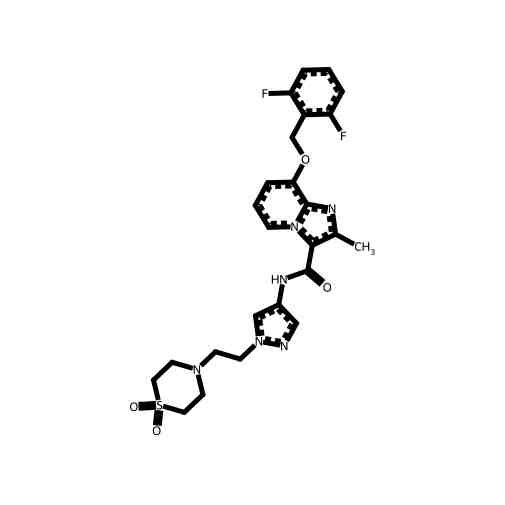 Cc1nc2c(OCc3c(F)cccc3F)cccn2c1C(=O)Nc1cnn(CCN2CCS(=O)(=O)CC2)c1